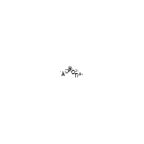 [Al].[B].[O-2].[O-2].[Ti+4]